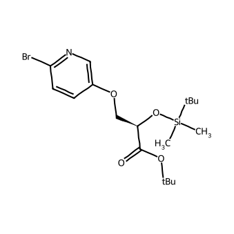 CC(C)(C)OC(=O)[C@@H](COc1ccc(Br)nc1)O[Si](C)(C)C(C)(C)C